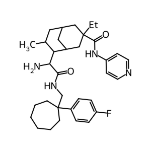 CCC1(C(=O)Nc2ccncc2)CC2CC(C)C(C(N)C(=O)NCC3(c4ccc(F)cc4)CCCCCC3)C(C2)C1